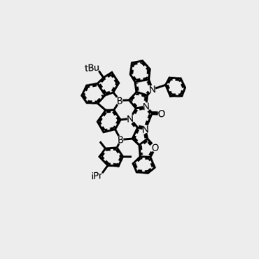 Cc1cc(C(C)C)cc(C)c1B1c2ccc3c4c2-n2c5c1c1c6ccccc6oc1n5c(=O)n1c2c(c2c5ccccc5n(-c5ccccc5)c21)B4c1ccc(C(C)(C)C)c2cccc-3c12